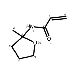 C=CC(=O)NC1(C)CCCO1